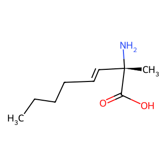 CCCCC=C[C@](C)(N)C(=O)O